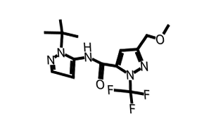 COCc1cc(C(=O)Nc2ccnn2C(C)(C)C)n(C(F)(F)F)n1